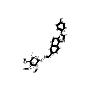 CO[C@@H]1[C@@H](OC)[C@H](C)O[C@H](ON=Cc2ccc3c(ccc4c3ncn4-c3ccc(C)cc3)c2)[C@@H]1OC